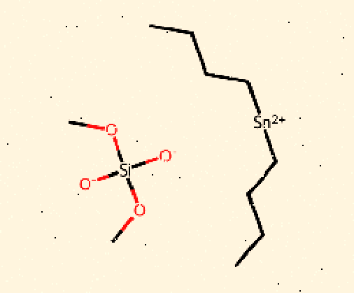 CCC[CH2][Sn+2][CH2]CCC.CO[Si]([O-])([O-])OC